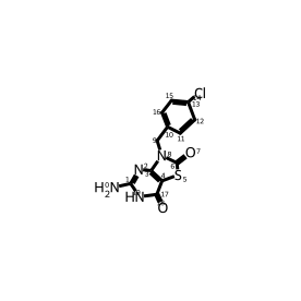 Nc1nc2c(sc(=O)n2Cc2ccc(Cl)cc2)c(=O)[nH]1